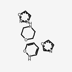 C1=CNOC=C1.C1COCCN1.c1cocn1.c1conn1